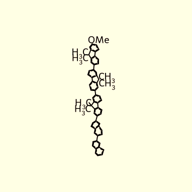 COc1ccc2c(c1)C(C)(C)c1cc(-c3ccc4c(c3)C(C)(C)c3cc(-c5ccc6c(c5)C(C)(C)c5cc(-c7ccc8cc(-c9ccc%10ccccc%10c9)ccc8c7)ccc5-6)ccc3-4)ccc1-2